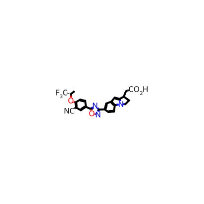 C[C@H](Oc1ccc(-c2nc(-c3ccc4c(c3)cc3n4CCC3CC(=O)O)no2)cc1C#N)C(F)(F)F